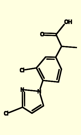 CC(C(=O)O)c1ccc(-n2ccc(Cl)n2)c(Cl)c1